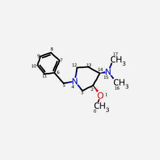 CO[C@H]1CN(Cc2ccccc2)CC[C@H]1N(C)C